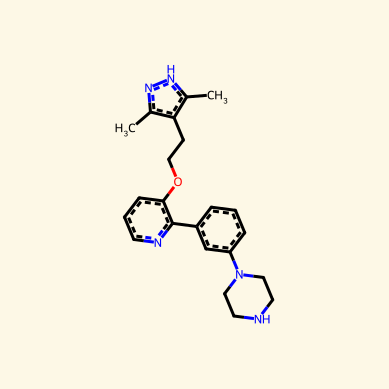 Cc1n[nH]c(C)c1CCOc1cccnc1-c1cccc(N2CCNCC2)c1